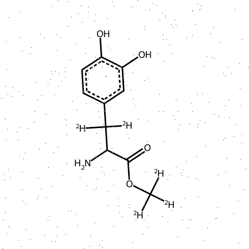 [2H]C([2H])([2H])OC(=O)C(N)C([2H])([2H])c1ccc(O)c(O)c1